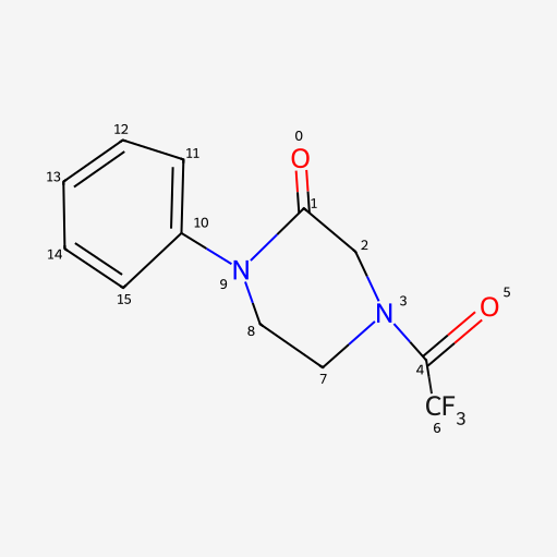 O=C1CN(C(=O)C(F)(F)F)CCN1c1ccccc1